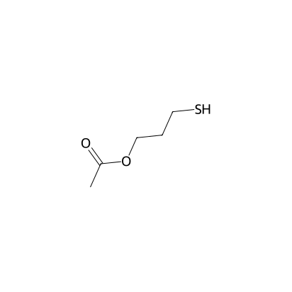 CC(=O)OCCCS